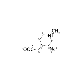 CN1CCN(CC(=O)[O-])CC1.[Na+]